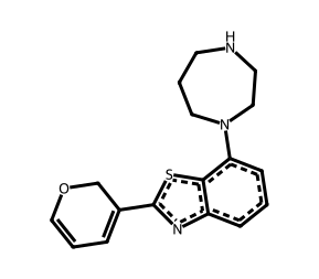 C1=COCC(c2nc3cccc(N4CCCNCC4)c3s2)=C1